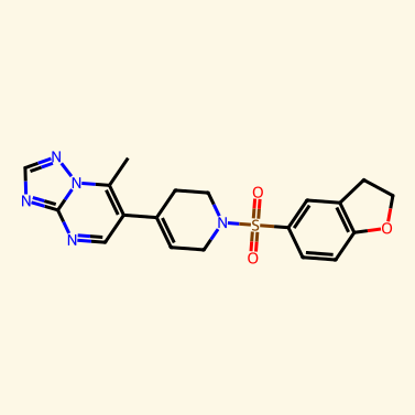 Cc1c(C2=CCN(S(=O)(=O)c3ccc4c(c3)CCO4)CC2)cnc2ncnn12